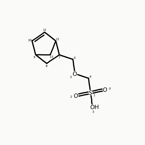 O=S(=O)(O)COCC1CC2C=CC1C2